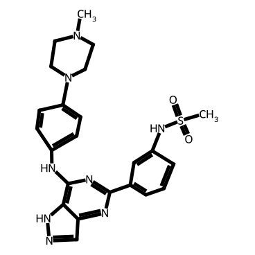 CN1CCN(c2ccc(Nc3nc(-c4cccc(NS(C)(=O)=O)c4)nc4cn[nH]c34)cc2)CC1